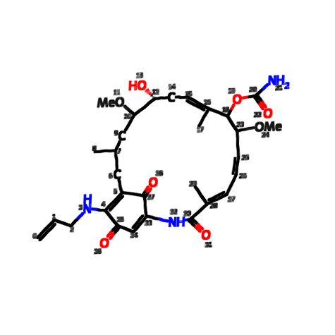 C=CCNC1=C2CC(C)CC(OC)[C@H](O)C/C=C(\C)C(OC(N)=O)C(OC)/C=C\C=C(/C)C(=O)NC(=CC1=O)C2=O